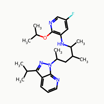 CC(C)Oc1ncc(F)cc1NC(C)C(C)CC(C)n1nc(C(C)C)c2cccnc21